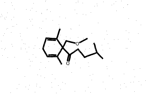 COCC1(C(=O)CCC(C)C)C(C)=CCC=C1C